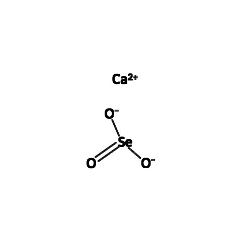 O=[Se]([O-])[O-].[Ca+2]